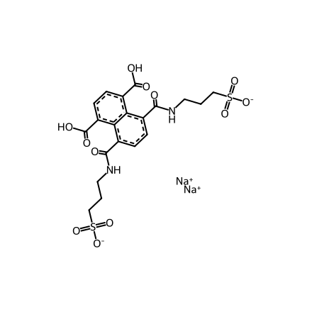 O=C(O)c1ccc(C(=O)O)c2c(C(=O)NCCCS(=O)(=O)[O-])ccc(C(=O)NCCCS(=O)(=O)[O-])c12.[Na+].[Na+]